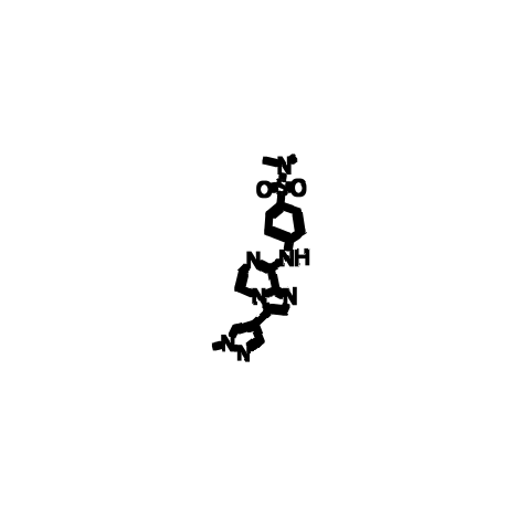 CN(C)S(=O)(=O)c1ccc(Nc2nccn3c(-c4cnn(C)c4)cnc23)cc1